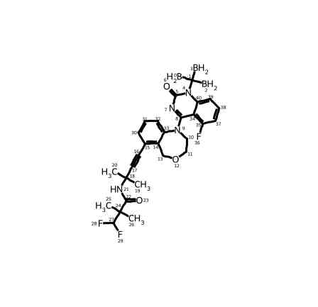 BC(B)(B)n1c(=O)nc(N2CCOCc3c(C#CC(C)(C)NC(=O)C(C)(C)C(F)F)cccc32)c2c(F)cccc21